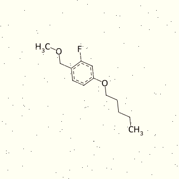 CCCCCOc1ccc(COC)c(F)c1